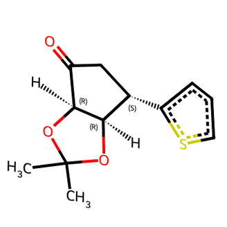 CC1(C)O[C@@H]2[C@@H](c3cccs3)CC(=O)[C@@H]2O1